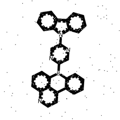 c1ccc2c(c1)B(c1cnc(-n3c4ccccc4c4ccccc43)cn1)c1cccc3nccc-2c13